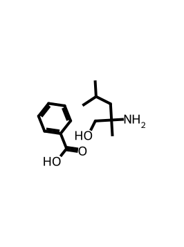 CC(C)CC(C)(N)CO.O=C(O)c1ccccc1